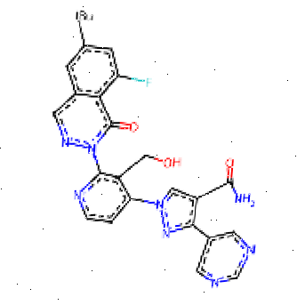 CC(C)(C)c1cc(F)c2c(=O)n(-c3nccc(-n4cc(C(N)=O)c(-c5cncnc5)n4)c3CO)ncc2c1